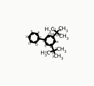 CC(C)(C)c1cc(-c2cc[c]cc2)cc(C(C)(C)C)c1